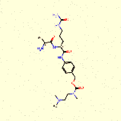 CC(=O)N(C)CCN(C)C(=O)OCc1ccc(NC(=O)[C@H](CCCNC(N)=O)NC(=O)[C@@H](N)C(C)C)cc1